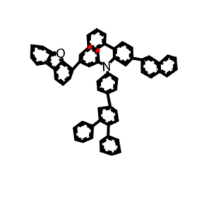 c1ccc(-c2ccc(-c3ccc(N(c4cccc(-c5cccc6c5oc5ccccc56)c4)c4cc(-c5ccc6ccccc6c5)ccc4-c4ccccc4)cc3)cc2-c2ccccc2)cc1